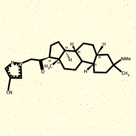 CNC1(C)CC[C@@H]2C3CC[C@]4(C)[C@@H](C(=O)Cn5cc(C#N)cn5)CC[C@H]4[C@@H]3CC[C@@H]2C1